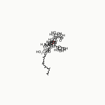 C=C(C/C=C(\C)CCC=C(C)C)CCC(C)(C)/C=C/CC/C(C)=C/CO[C@H](COP(=O)(O)O[C@H]1OC(C(N)=O)[C@@](C)(O)[C@H](OC(N)=O)C1O[C@@H]1OC(CO[C@@H]2OCC(CO)[C@@H](O)C(O)C2O)[C@@H](O[C@@H]2OC(C)[C@@H](O[C@@H]3O[C@@H](C(=O)NC4=C(O)CCC4=O)[C@H](O)C(O)C3O)C(O)C2NC(C)=O)C(O)C1NC(C)=O)C(=O)O